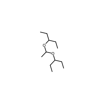 CCC(CC)O[C](C)OC(CC)CC